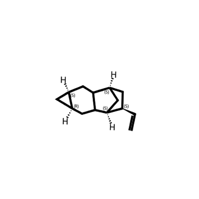 C=C[C@@H]1C[C@H]2C[C@@H]1C1C[C@H]3C[C@H]3CC12